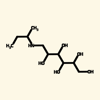 CCC(C)NCC(O)C(O)C(O)C(O)CO